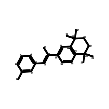 CC(=Cc1cc[c]c(C)c1)c1ccc2c(c1)C(C)(C)CCC2(C)C